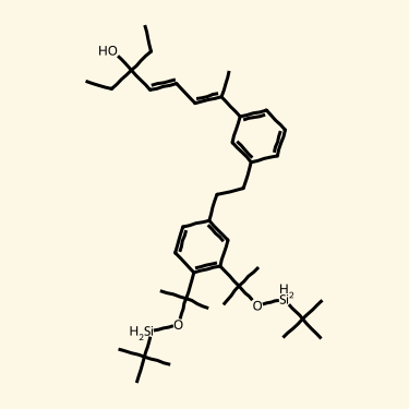 CCC(O)(C=CC=C(C)c1cccc(CCc2ccc(C(C)(C)O[SiH2]C(C)(C)C)c(C(C)(C)O[SiH2]C(C)(C)C)c2)c1)CC